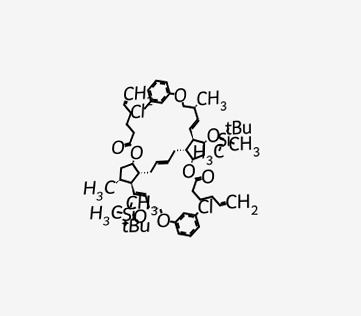 C=CCCCC(=O)O[C@H]1C[C@@H](C)[C@H](/C=C/[C@H](COc2cccc(Cl)c2)O[Si](C)(C)C(C)(C)C)[C@H]1C/C=C/C[C@@H]1[C@@H](/C=C/[C@@H](C)COc2cccc(Cl)c2)[C@H](O[Si](C)(C)C(C)(C)C)C[C@@H]1OC(=O)CCCC=C